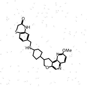 COc1ccc2ncc3c(c2n1)CC(C1CCC(NCc2ccc4c(c2)NC(=O)CS4)CC1)CO3